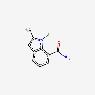 Cc1cc2cccc(C(N)=O)c2n1F